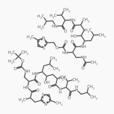 CC(=O)NCC(NC(=O)OCc1nc(C)cs1)C(=O)NC(CC(C)C)C(O)CC(C)C(=O)NC(C(=O)NCC(C)C)C(C)C.Cc1csc(CC(C)C(=O)NC(CNC(=O)OC(C)(C)C)C(=O)NC(CC(C)C)C(O)CC(C)C(=O)NC(C(=O)NCC(C)C)C(C)C)n1